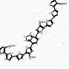 CCCCCCc1ccsc1-c1ccc(-c2ccc(-c3sc(-c4ccc(-c5cc(CCCCCC)c(-c6ccc(-c7ccc(-c8sccc8CCCCCC)s7)s6)s5)c5nsnc45)cc3CCCCCC)s2)s1